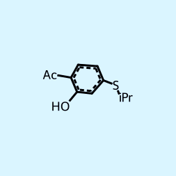 CC(=O)c1ccc(SC(C)C)cc1O